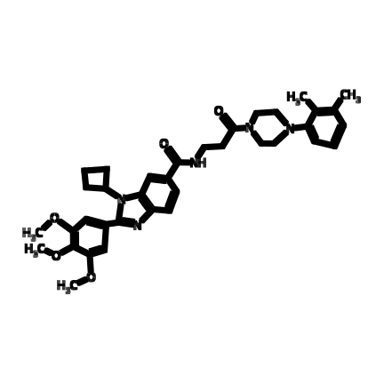 COc1cc(-c2nc3ccc(C(=O)NCCC(=O)N4CCN(c5cccc(C)c5C)CC4)cc3n2C2CCC2)cc(OC)c1OC